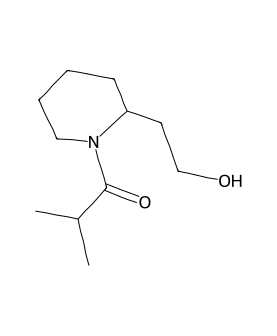 CC(C)C(=O)N1CCCCC1CCO